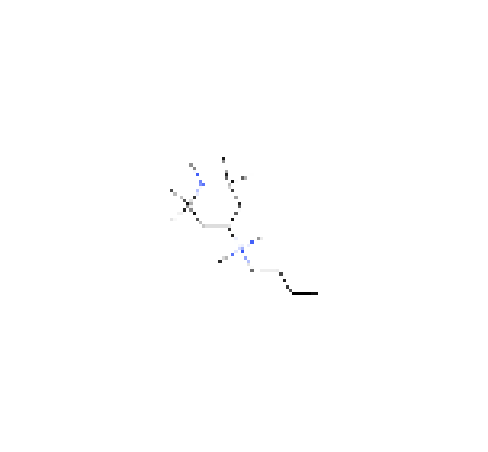 CCCC[N+](C)(C)C1CC(C)(C)N(C)C(C)(C)C1